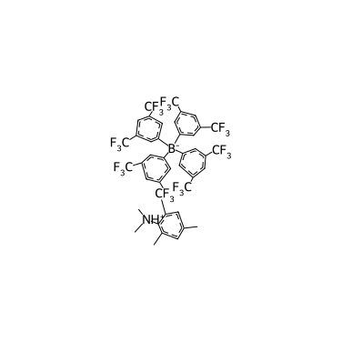 Cc1cc(C)c([NH+](C)C)c(C)c1.FC(F)(F)c1cc([B-](c2cc(C(F)(F)F)cc(C(F)(F)F)c2)(c2cc(C(F)(F)F)cc(C(F)(F)F)c2)c2cc(C(F)(F)F)cc(C(F)(F)F)c2)cc(C(F)(F)F)c1